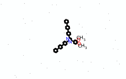 COc1ccc(-c2cc(-c3ccc(-c4ccc(-c5ccccc5)cc4)cc3)nc(-c3ccc(-c4ccc(-c5ccccc5)cc4)cc3)n2)cc1OC